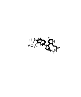 C[C@@H](N)CCc1ncc(F)cc1C1C2CC2CN1c1ccn2nc(N)c(C(=O)O)c2n1